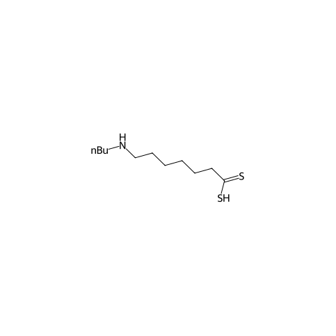 CCCCNCCCCCCC(=S)S